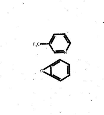 FC(F)(F)c1cccnc1.c1ccc2c(c1)O2